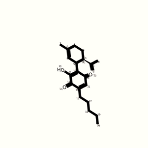 C=C(C)[C@@H]1CCC(C)=CC1C1=C(O)C(=O)C(CCCCC)=CC1=O